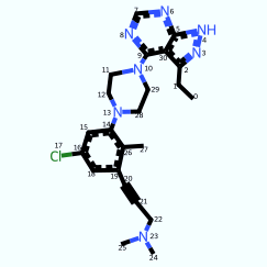 CCc1n[nH]c2ncnc(N3CCN(c4cc(Cl)cc(C#CCN(C)C)c4C)CC3)c12